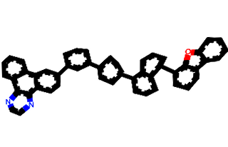 c1cc(-c2ccc(-c3cccc4c(-c5cccc6c5oc5ccccc56)cccc34)cc2)cc(-c2ccc3c(c2)c2ccccc2c2nccnc32)c1